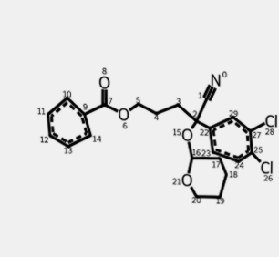 N#CC(CCCOC(=O)c1ccccc1)(OC1CCCCO1)c1ccc(Cl)c(Cl)c1